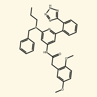 CCCN(Cc1ccccc1)c1cc(NC(=O)Cc2cc(OC)ccc2OC)cc(-c2ccccc2-c2nn[nH]n2)n1